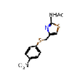 CC(=O)Nc1nc(CSc2ccc([N+](=O)[O-])cc2)cs1